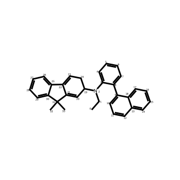 CCN(c1ccccc1-c1cccc2ccccc12)C1C=C2C(=CC1)c1ccccc1C2(C)C